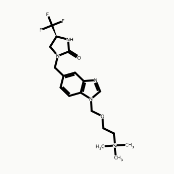 C[Si](C)(C)CCOCn1cnc2cc(CN3C[C@@H](C(F)(F)F)NC3=O)ccc21